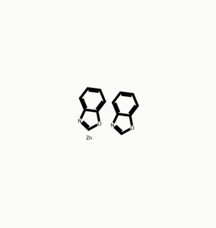 [Zn].c1ccc2ocnc2c1.c1ccc2ocnc2c1